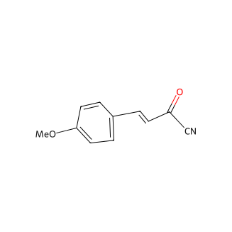 COc1ccc(C=CC(=O)C#N)cc1